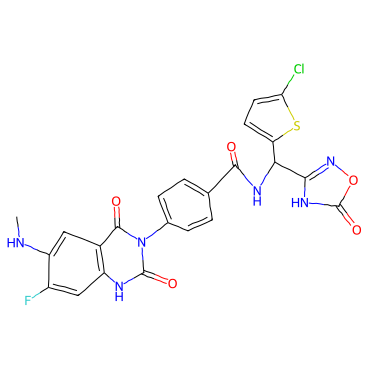 CNc1cc2c(=O)n(-c3ccc(C(=O)NC(c4noc(=O)[nH]4)c4ccc(Cl)s4)cc3)c(=O)[nH]c2cc1F